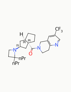 CCCC1(CCC)CCN1[C@H]1C[C@H]2CCC[C@@]2(C(=O)N2CCc3ncc(C(F)(F)F)cc3C2)C1